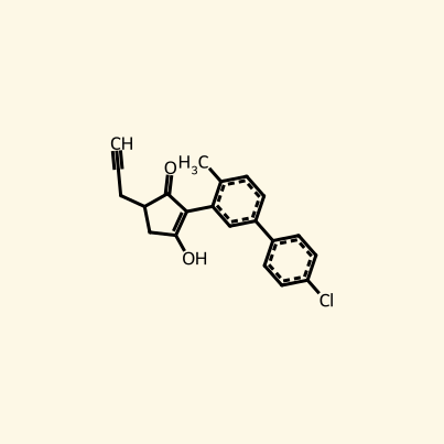 C#CCC1CC(O)=C(c2cc(-c3ccc(Cl)cc3)ccc2C)C1=O